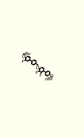 CCCCOc1ccc(-c2ccc(OCc3ccc(-c4ccc(OCCCC)c(F)c4)cc3)c(F)c2F)cc1